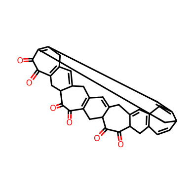 O=C1C(=O)C2=C3C=C4CC5=C(CC6C(=O)C(=O)C7CC8=C(C=C7CC6=C5)CC5=CC(=C1CC5C=C8)C3)C(=O)C(=O)C4C2